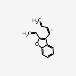 C=C/C=C\c1c(C=C)oc2ccccc12